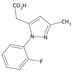 Cc1cc(CC(=O)O)n(-c2ccccc2F)n1